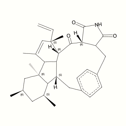 C=C[C@@]1(C)C=C(C)C2C3[C@H](Cc4ccc(cc4)CC4C(=O)NC(=O)[C@H]4C(=O)[C@H]31)C1[C@@H](C)C[C@@H](C)C[C@@]21C